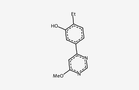 CCc1ccc(-c2cc(OC)ncn2)cc1O